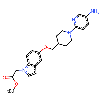 CC(C)(C)OC(=O)Cn1ccc2cc(OCC3CCN(c4ccc(N)cn4)CC3)ccc21